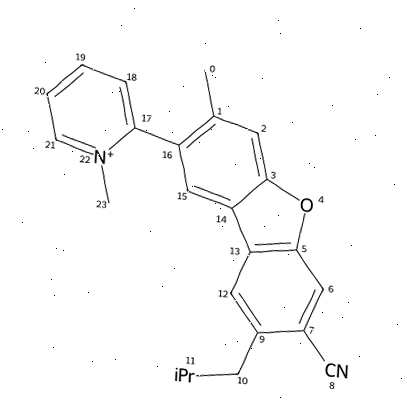 Cc1cc2oc3cc(C#N)c(CC(C)C)cc3c2cc1-c1cccc[n+]1C